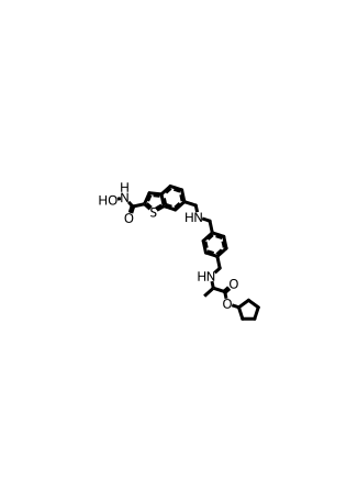 CC(NCc1ccc(CNCc2ccc3cc(C(=O)NO)sc3c2)cc1)C(=O)OC1CCCC1